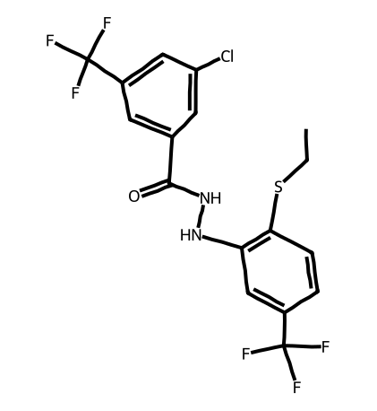 CCSc1ccc(C(F)(F)F)cc1NNC(=O)c1cc(Cl)cc(C(F)(F)F)c1